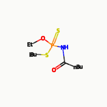 CCCCC(=O)NP(=S)(OCC)SC(C)CC